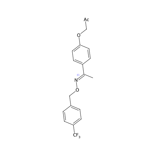 CC(=O)COc1ccc(/C(C)=N/OCc2ccc(C(F)(F)F)cc2)cc1